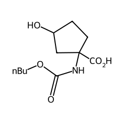 CCCCOC(=O)NC1(C(=O)O)CCC(O)C1